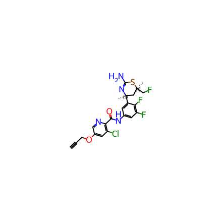 C#CCOc1cnc(C(=O)Nc2cc(F)c(F)c([C@]3(C)C[C@](C)(CF)SC(N)=N3)c2)c(Cl)c1